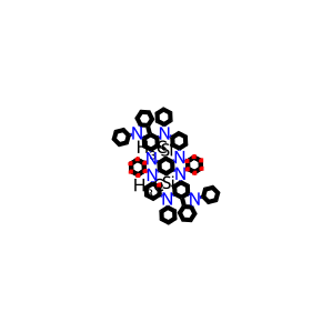 C[Si]12c3c4cccc3N(c3ccccc3)c3c1c(cc1c3c3ccccc3n1-c1ccccc1)N(c1ccccc1)c1c3c5c(c(c12)N4c1ccccc1)N(c1ccccc1)c1cc2c(c4c1[Si]5(C)c1c(cccc1N4c1ccccc1)N3c1ccccc1)c1ccccc1n2-c1ccccc1